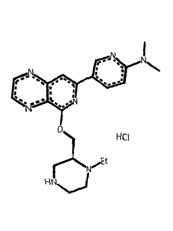 CCN1CCNC[C@H]1COc1nc(-c2ccc(N(C)C)nc2)cc2nccnc12.Cl